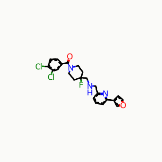 O=C(c1ccc(Cl)c(Cl)c1)N1CCC(F)(CNCc2cccc(-c3ccoc3)n2)CC1